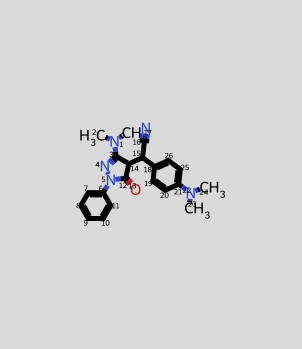 CN(C)C1=NN(c2ccccc2)C(=O)C1C(C#N)c1ccc(N(C)C)cc1